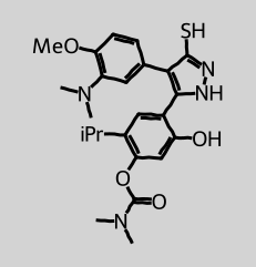 COc1ccc(-c2c(S)n[nH]c2-c2cc(C(C)C)c(OC(=O)N(C)C)cc2O)cc1N(C)C